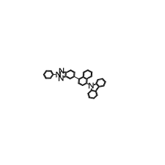 c1ccc(-n2nc3ccc(-c4ccc(-n5c6ccccc6c6ccccc65)c5ccccc45)cc3n2)cc1